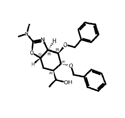 CC(O)[C@H]1C[C@@H]2OC(N(C)C)=N[C@H]2[C@@H](OCc2ccccc2)[C@@H]1OCc1ccccc1